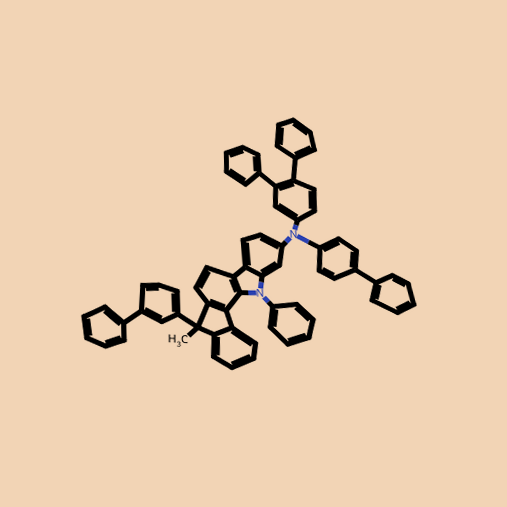 CC1(c2cccc(-c3ccccc3)c2)c2ccccc2-c2c1ccc1c3ccc(N(c4ccc(-c5ccccc5)cc4)c4ccc(-c5ccccc5)c(-c5ccccc5)c4)cc3n(-c3ccccc3)c21